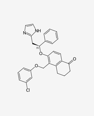 O=C1CCCc2c1ccc(O[C@@H](Cc1ncc[nH]1)c1ccccc1)c2COc1cccc(Cl)c1